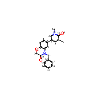 Cc1cc(-c2ccc3c(c2)N(Cc2ccccc2)C(=O)CO3)cn(C)c1=O